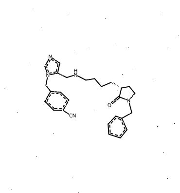 N#Cc1ccc(Cn2cncc2CNCCCC[C@@H]2CCN(Cc3ccccc3)C2=O)cc1